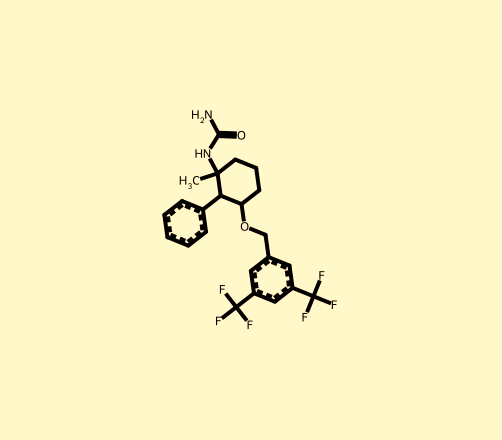 CC1(NC(N)=O)CCCC(OCc2cc(C(F)(F)F)cc(C(F)(F)F)c2)C1c1ccccc1